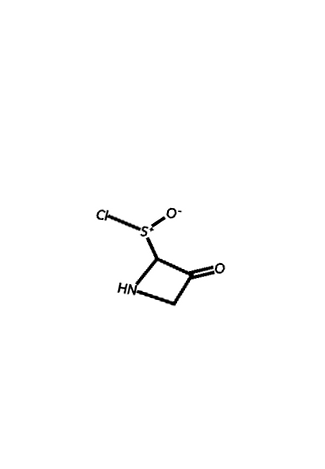 O=C1CNC1[S+]([O-])Cl